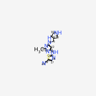 Cc1nc(NCC2CCNCC2)cc(Nc2ncc(C#N)s2)n1